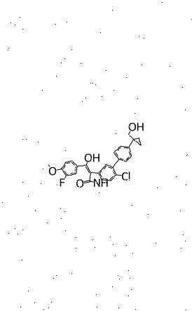 COc1ccc(C(O)=C2C(=O)Nc3cc(Cl)c(-c4ccc(C5(CO)CC5)cc4)cc32)cc1F